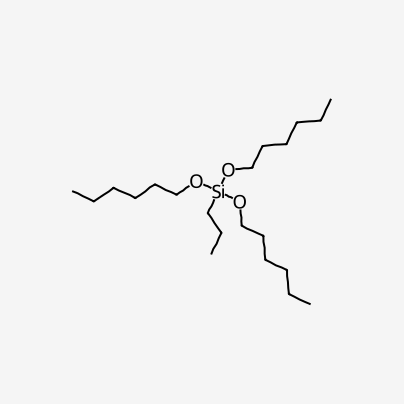 CCCCCCO[Si](CCC)(OCCCCCC)OCCCCCC